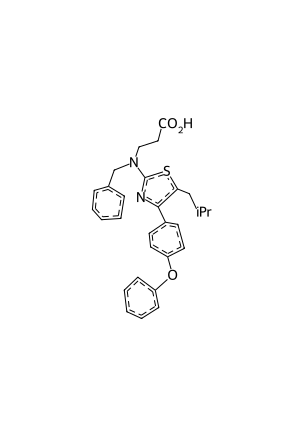 CC(C)Cc1sc(N(CCC(=O)O)Cc2ccccc2)nc1-c1ccc(Oc2ccccc2)cc1